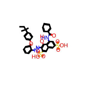 CCC(C)(C)c1ccc(Oc2ccccc2/N=N/c2c(S(=O)(=O)O)cc3cc(S(=O)(=O)O)cc(NC(=O)c4ccccc4)c3c2O)cc1